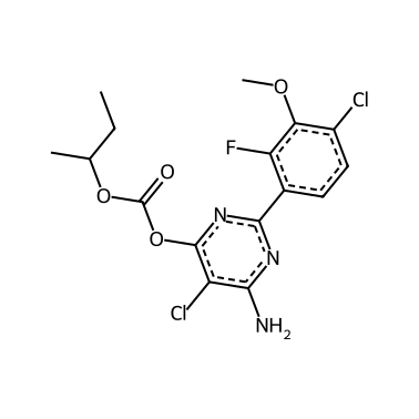 CCC(C)OC(=O)Oc1nc(-c2ccc(Cl)c(OC)c2F)nc(N)c1Cl